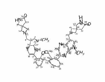 CN1C=C(CN2CC3(CNC(=O)C3)C2)C2=NC=C(c3cccc(-c4cccc(-c5cnc6c(CN7CC8(CNC(=O)C8)C7)cn(C)c6n5)c4Cl)c3Cl)NC21